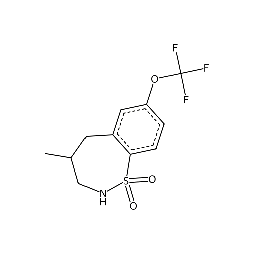 CC1CNS(=O)(=O)c2ccc(OC(F)(F)F)cc2C1